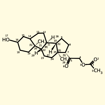 CC(=O)OCC(=O)[C@H]1CC[C@H]2[C@@H]3CCC4CC(O)CC[C@]4(C)[C@H]3CC[C@]12C